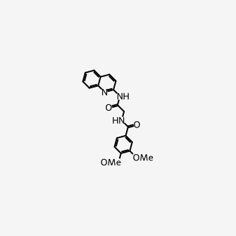 COc1ccc(C(=O)NCC(=O)Nc2ccc3ccccc3n2)cc1OC